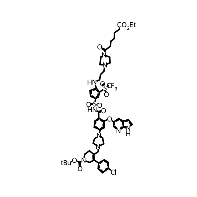 CCOC(=O)CCCCCC(=O)N1CCN(CCCNc2ccc(S(=O)(=O)NC(=O)c3ccc(N4CCN(CC5=C(c6ccc(Cl)cc6)CN(C(=O)OC(C)(C)C)CC5)CC4)cc3Oc3cnc4[nH]ccc4c3)cc2S(=O)(=O)C(F)(F)F)CC1